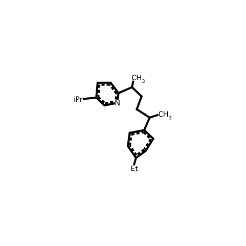 CCc1ccc(C(C)CCC(C)c2ccc(C(C)C)cn2)cc1